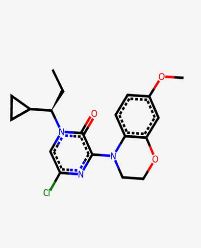 CC[C@H](C1CC1)n1cc(Cl)nc(N2CCOc3cc(OC)ccc32)c1=O